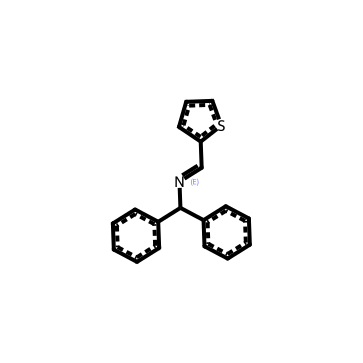 C(=N\C(c1ccccc1)c1ccccc1)/c1cccs1